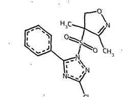 CC1=NOCC1(C)S(=O)(=O)n1nc(Cl)nc1-c1ccccc1